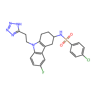 O=S(=O)(NC1CCc2c(c3cc(F)ccc3n2CCc2nnn[nH]2)C1)c1ccc(Cl)cc1